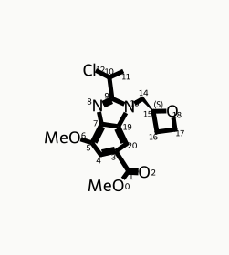 COC(=O)c1cc(OC)c2nc(C(C)Cl)n(C[C@@H]3CCO3)c2c1